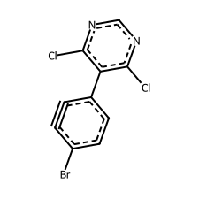 Clc1ncnc(Cl)c1-c1c#cc(Br)cc1